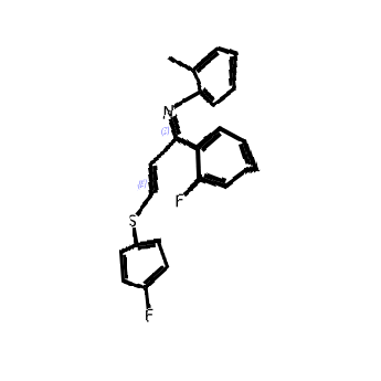 Cc1ccccc1/N=C(/C=C/Sc1ccc(F)cc1)c1ccccc1F